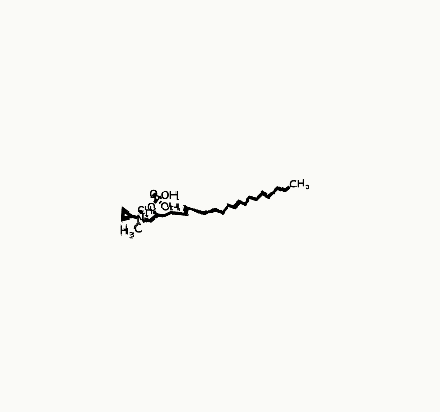 CCCCCCCC/C=C/CCCCCCCCC(C[N+](C)(C)C1CC1)OP(=O)(O)O